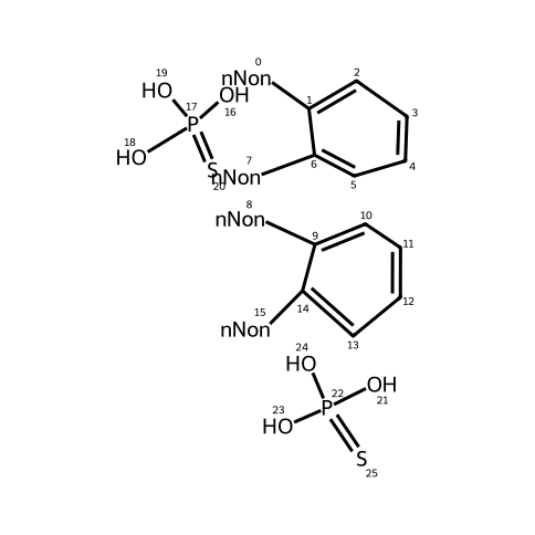 CCCCCCCCCc1ccccc1CCCCCCCCC.CCCCCCCCCc1ccccc1CCCCCCCCC.OP(O)(O)=S.OP(O)(O)=S